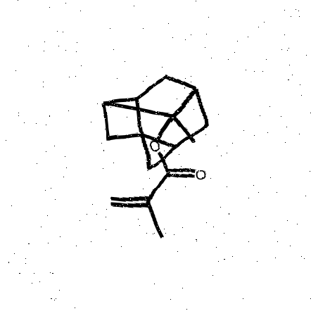 C=C(C)C(=O)OC1(C)C2CC3CC34CC1C4C2